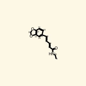 CCNC(=O)C=CC=Cc1ccc2c(c1)OCO2